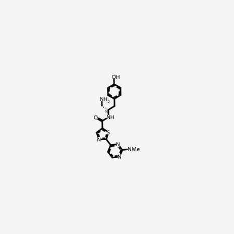 CNc1nccc(-c2ncc(C(=O)N[C@H](CN)Cc3ccc(O)cc3)s2)n1